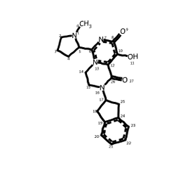 CN1CCCC1c1nc(=O)c(O)c2n1CCN(C1Cc3ccccc3C1)C2=O